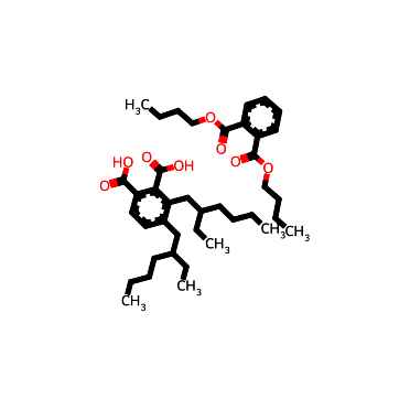 CCCCC(CC)Cc1ccc(C(=O)O)c(C(=O)O)c1CC(CC)CCCC.CCCCOC(=O)c1ccccc1C(=O)OCCCC